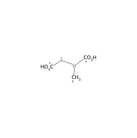 CC([CH]C(=O)O)C(=O)O